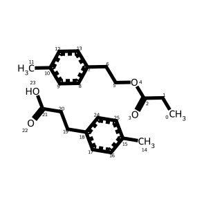 CCC(=O)OCCc1ccc(C)cc1.Cc1ccc(CCC(=O)O)cc1